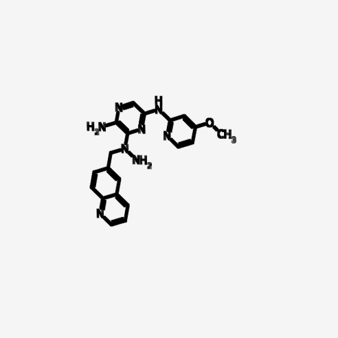 COc1ccnc(Nc2cnc(N)c(N(N)Cc3ccc4ncccc4c3)n2)c1